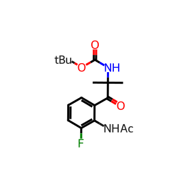 CC(=O)Nc1c(F)cccc1C(=O)C(C)(C)NC(=O)OC(C)(C)C